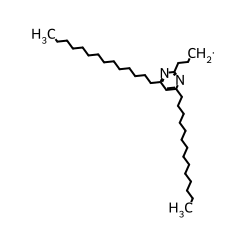 [CH2]CCc1nc(CCCCCCCCCCCCCC)cc(CCCCCCCCCCCCCC)n1